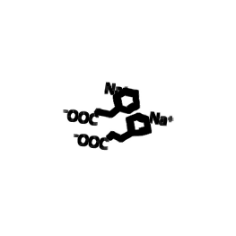 O=C([O-])CCc1ccccc1.O=C([O-])CCc1ccccc1.[Na+].[Na+]